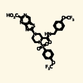 O=C(O)c1ncc2sc(N3CCN(S(=O)(=O)c4ccc(OC(F)(F)F)cc4)C(C(=O)NCc4ccc(OC(F)(F)F)cc4)C3)nc2n1